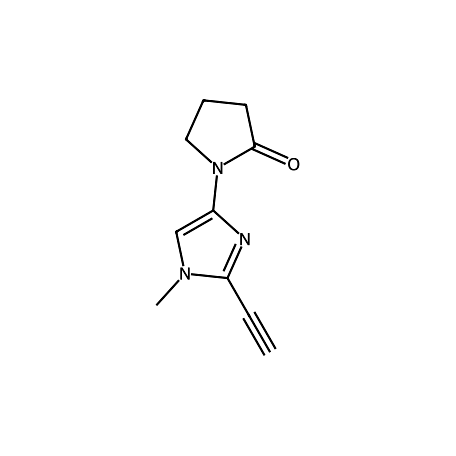 C#Cc1nc(N2CCCC2=O)cn1C